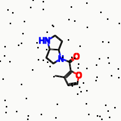 Cc1ccoc1C(=O)N1CCC2NCCC21